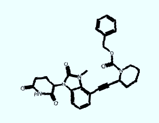 Cn1c(=O)n(C2CCC(=O)NC2=O)c2cccc(C#CC3CCCCN3C(=O)OCc3ccccc3)c21